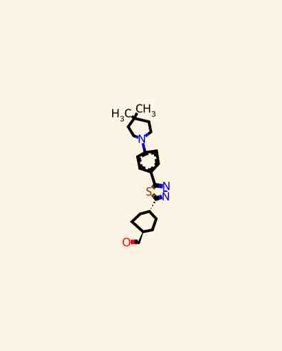 CC1(C)CCN(c2ccc(-c3nnc([C@H]4CC[C@H](C=O)CC4)s3)cc2)CC1